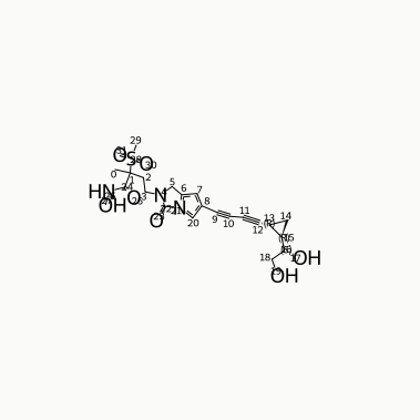 CC(CCN1Cc2cc(C#CC#C[C@@H]3C[C@H]3[C@H](O)CO)cn2C1=O)(C(=O)NO)S(C)(=O)=O